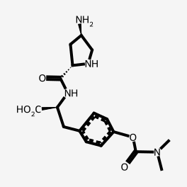 CN(C)C(=O)Oc1ccc(C[C@H](NC(=O)[C@@H]2C[C@@H](N)CN2)C(=O)O)cc1